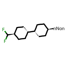 CCCCCCCCC[C@H]1CC[C@H]([C@H]2CC[C@H](C(F)F)CC2)CC1